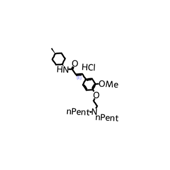 CCCCCN(CCCCC)CCOc1ccc(/C=C/C(=O)N[C@H]2CC[C@H](C)CC2)cc1OC.Cl